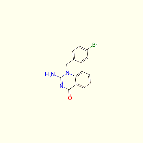 Nc1nc(=O)c2ccccc2n1Cc1ccc(Br)cc1